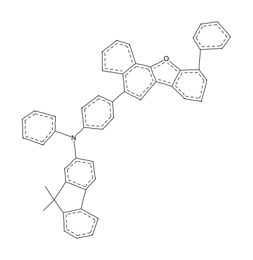 CC1(C)c2ccccc2-c2ccc(N(c3ccccc3)c3ccc(-c4cc5c6cccc(-c7ccccc7)c6oc5c5ccccc45)cc3)cc21